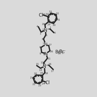 CC[N+](CC)(CCN1CCN(CC[N+](CC)(CC)Cc2ccccc2Cl)CC1)Cc1ccccc1Cl.[Br-].[Br-]